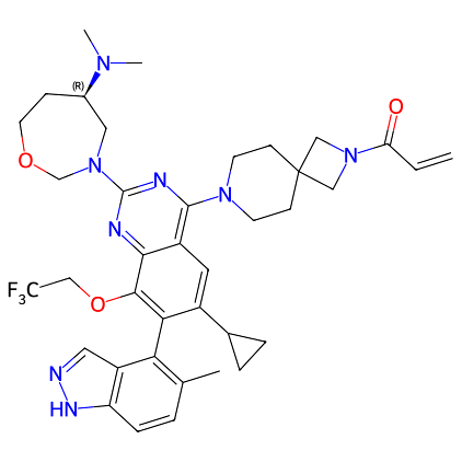 C=CC(=O)N1CC2(CCN(c3nc(N4COCC[C@@H](N(C)C)C4)nc4c(OCC(F)(F)F)c(-c5c(C)ccc6[nH]ncc56)c(C5CC5)cc34)CC2)C1